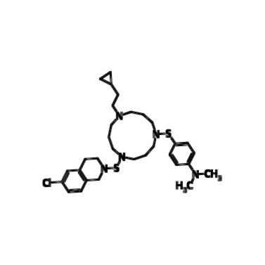 CN(C)c1ccc(SN2CCCN(CCC3CC3)CCCN(SN3CCc4cc(Cl)ccc4C3)CCC2)cc1